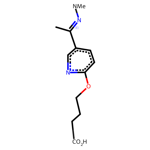 CN/N=C(\C)c1ccc(OCCCC(=O)O)nc1